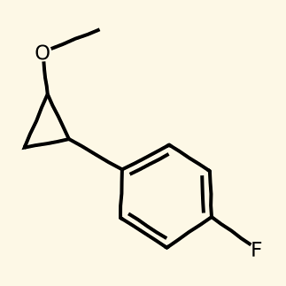 COC1CC1c1ccc(F)cc1